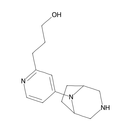 OCCCc1cc(N2C3CCC2CNC3)ccn1